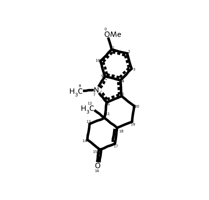 COc1ccc2c3c(n(C)c2c1)C1(C)CCC(=O)C=C1CC3